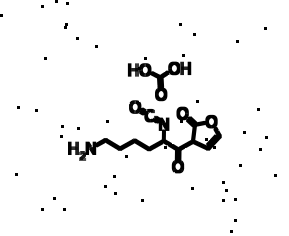 NCCCCC(N=C=O)C(=O)C1C=COC1=O.O=C(O)O